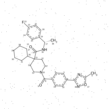 Cc1nc(-c2ccc(C(=O)N3CCC(C(=O)N[C@@H](C)c4ccc(F)cc4)(C4CCCCC4)CC3)cc2)no1